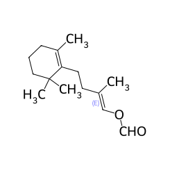 CC1=C(CC/C(C)=C/OC=O)C(C)(C)CCC1